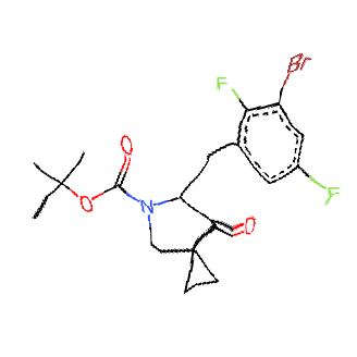 CC(C)(C)OC(=O)N1CC2(CC2)C(=O)C1Cc1cc(F)cc(Br)c1F